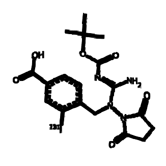 CC(C)(C)OC(=O)N=C(N)N(Cc1ccc(C(=O)O)cc1[131I])N1C(=O)CCC1=O